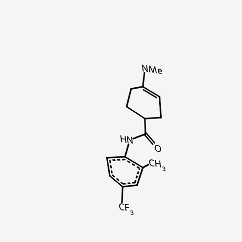 CNC1=CCC(C(=O)Nc2ccc(C(F)(F)F)cc2C)CC1